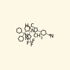 Cc1cc(-c2ccc(C#N)cc2)c(C)n1Cc1cc(C(F)(F)F)nn1C(c1ccccc1)(c1ccccc1)c1ccccc1